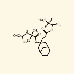 CC[C@H](C)[C@@H](C=O)NC(C)(CC)C(=O)OC1(CCC(=O)OC(C(F)(F)F)C(F)(F)S(=O)(=O)O)CC2CCCC(C2)C1